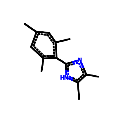 Cc1cc(C)c(-c2nc(C)c(C)[nH]2)c(C)c1